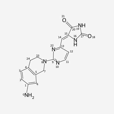 Nc1ccc2c(c1)CN(c1nccc(/C=C3\NC(=O)NC3=O)n1)CC2